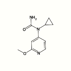 COc1cc(N(C(N)=O)C2CC2)ccn1